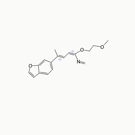 C=N/C(=C\C=C(/C)c1ccc2ccoc2c1)OCCOC